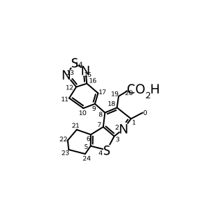 Cc1nc2sc3c(c2c(-c2ccc4nsnc4c2)c1CC(=O)O)CCCC3